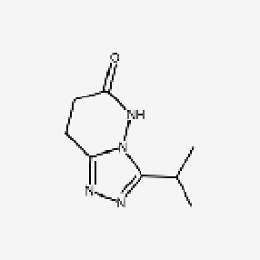 CC(C)c1nnc2n1NC(=O)CC2